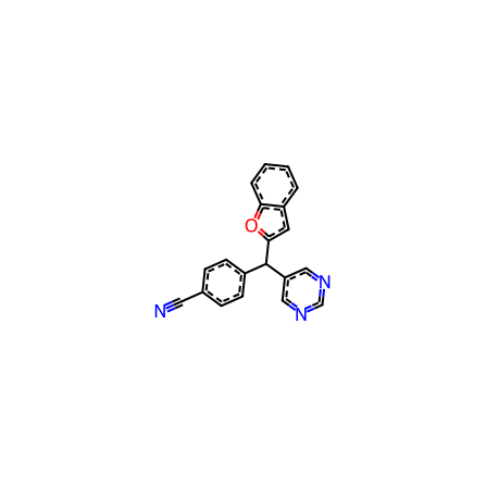 N#Cc1ccc(C(c2cncnc2)c2cc3ccccc3o2)cc1